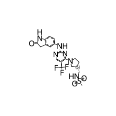 CS(=O)(=O)NC[C@H]1CCN(c2nc(Nc3ccc4c(c3)CC(=O)N4)ncc2C(F)(F)F)C1